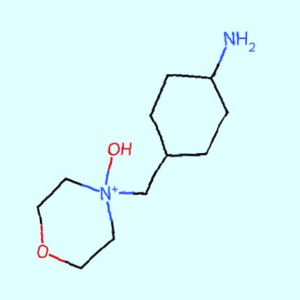 NC1CCC(C[N+]2(O)CCOCC2)CC1